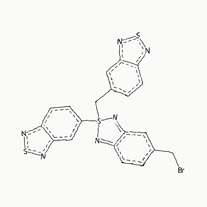 BrCc1ccc2c(c1)=NS(Cc1ccc3nsnc3c1)(c1ccc3nsnc3c1)N=2